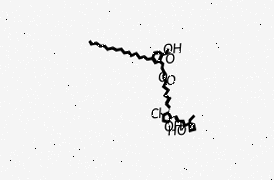 CCCCCCCCCCCCCCCCc1ccc(C(=O)O)c(CCCOC(=O)CCCC=CC[C@@H]2[C@@H](C=CC[C@H](O)C3(CC)CCC3)[C@H](O)C[C@H]2Cl)c1